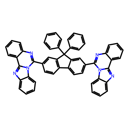 c1ccc(C2(c3ccccc3)c3cc(-c4nc5ccccc5c5nc6ccccc6n45)ccc3-c3ccc(-c4nc5ccccc5c5nc6ccccc6n45)cc32)cc1